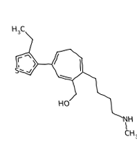 CCc1cscc1C1=CCC=C(CCCCNC)C(CO)=C1